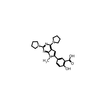 Cn1c(-c2ccc(O)c(C(=O)O)c2)cc2c(N3CCCC3)nc(N3CCCC3)nc21